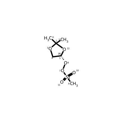 CC1(C)OC[C@@H](OOS(C)(=O)=O)O1